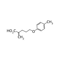 C=C(CCCOc1ccc(C)cc1)C(=O)O